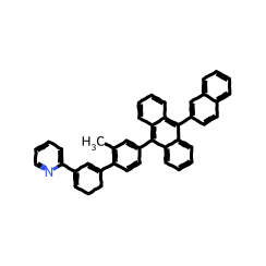 Cc1cc(-c2c3ccccc3c(-c3ccc4ccccc4c3)c3ccccc23)ccc1C1=CC(c2ccccn2)=CCC1